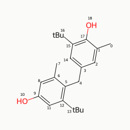 Cc1cc(Cc2c(C)cc(O)cc2C(C)(C)C)cc(C(C)(C)C)c1O